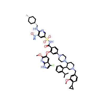 COc1cc(CN2CCC(N3CCN(c4ccc(C(=O)NS(=O)(=O)c5cnc(NC[C@H]6CC[C@@H](C)CC6)c([NH+](C)[O-])c5)c(Oc5cc6c(F)c[nH]c6nc5OC)c4)CC3)C(c3ccccc3C(C)C)C2)ccc1C1CC1